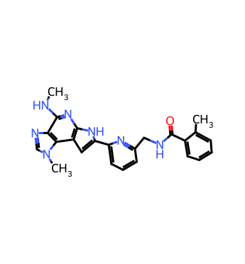 CNc1nc2[nH]c(-c3cccc(CNC(=O)c4ccccc4C)n3)cc2c2c1ncn2C